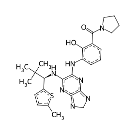 Cc1ccc([C@H](Nc2nc3c(nc2Nc2cccc(C(=O)N4CCCC4)c2O)=NCN=3)C(C)(C)C)s1